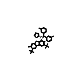 Cc1cccc([C](c2cccc(C)c2)=[Zr]([C]2=CC=CC2)[c]2c(C)c(C(C)(C)C)cc3c2Cc2cc(C)c(C(C)(C)C)cc2-3)c1